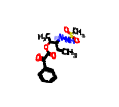 CC/C(=N\NS(C)(=O)=O)C(C)OC(=O)C(=O)c1ccccc1